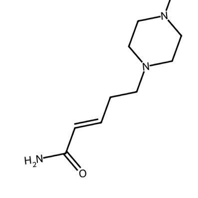 CN1CCN(CCC=CC(N)=O)CC1